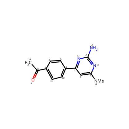 CNc1cc(-c2ccc(C(=O)C(F)(F)F)cc2)nc(N)n1